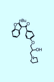 CCCCc1oc2ccccc2c1C(=O)c1ccc(OCC(O)CN2CCCC2)cc1